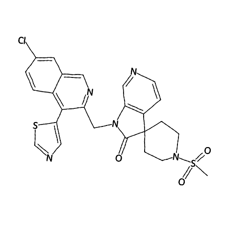 CS(=O)(=O)N1CCC2(CC1)C(=O)N(Cc1ncc3cc(Cl)ccc3c1-c1cncs1)c1cnccc12